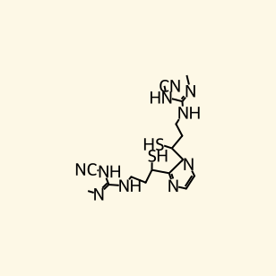 CN=C(NC#N)NCCC(S)c1nccnc1C(S)CCNC(=NC)NC#N